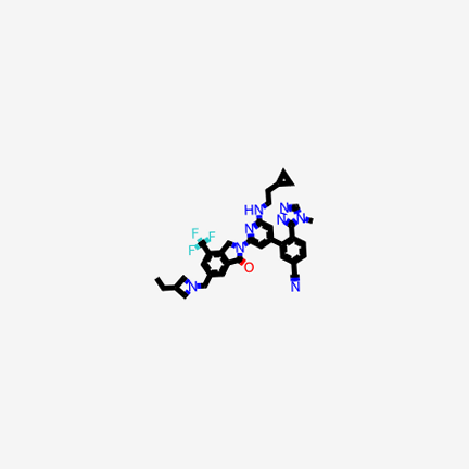 CCC1CN(Cc2cc3c(c(C(F)(F)F)c2)CN(c2cc(-c4cc(C#N)ccc4-c4nncn4C)cc(NCCC4CC4)n2)C3=O)C1